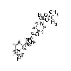 CC(C)(C)OC(=O)N1CCC(OCc2noc(-c3cccc(C(F)(F)F)c3)n2)CC1